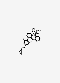 Cc1cc(CCC#N)cc(C)c1-c1cccc2c1cc1ccccc1[n+]2C(=O)[O-]